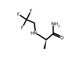 C[C@@H](NCC(F)(F)F)C(N)=O